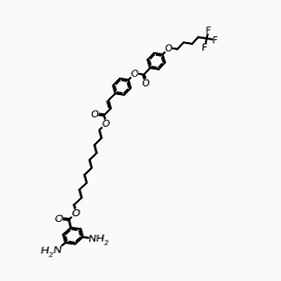 Nc1cc(N)cc(C(=O)OCCCCCCCCCCCOC(=O)C=Cc2ccc(OC(=O)c3ccc(OCCCCC(F)(F)F)cc3)cc2)c1